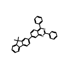 CC1(C)c2ccccc2-c2ccc(-c3ccc4c(-c5ccccc5)nc(-c5ccccc5)nc4c3)cc21